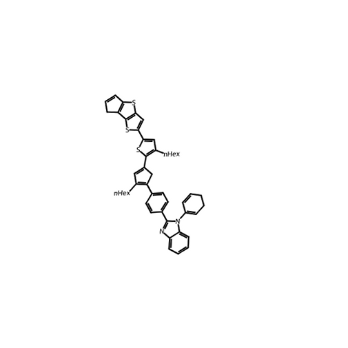 CCCCCCC1=C(c2ccc(-c3nc4ccccc4n3C3=CCCC=C3)cc2)CC(c2sc(-c3cc4sc5c(c4s3)CC=C5)cc2CCCCCC)=C1